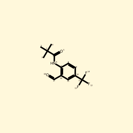 CC(C)(C)C(=O)Nc1ccc(C(F)(F)F)cc1C=O